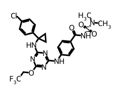 CN(C)S(=O)(=O)NC(=O)c1ccc(Nc2nc(NC3(c4ccc(Cl)cc4)CC3)nc(OCC(F)(F)F)n2)cc1